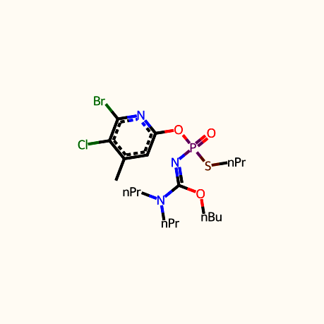 CCCCOC(=NP(=O)(Oc1cc(C)c(Cl)c(Br)n1)SCCC)N(CCC)CCC